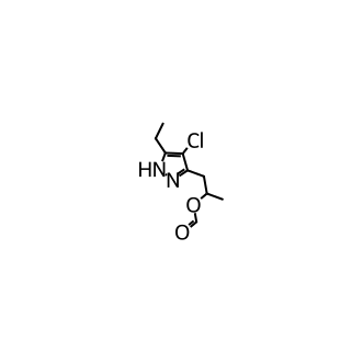 CCc1[nH]nc(CC(C)OC=O)c1Cl